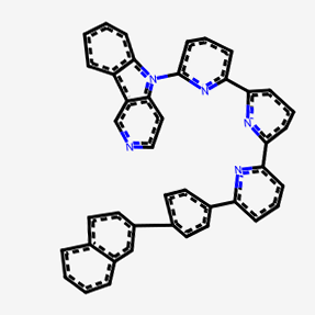 c1cc(-c2ccc(-c3ccc4ccccc4c3)cc2)nc(-c2cccc(-c3cccc(-n4c5ccccc5c5cnccc54)n3)n2)c1